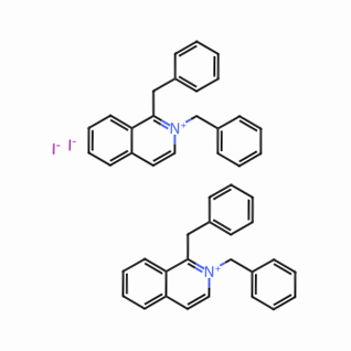 [I-].[I-].c1ccc(Cc2c3ccccc3cc[n+]2Cc2ccccc2)cc1.c1ccc(Cc2c3ccccc3cc[n+]2Cc2ccccc2)cc1